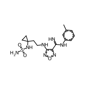 Cc1cccc(NC(=N)c2nonc2NCCC2(NS(N)(=O)=O)CC2)c1